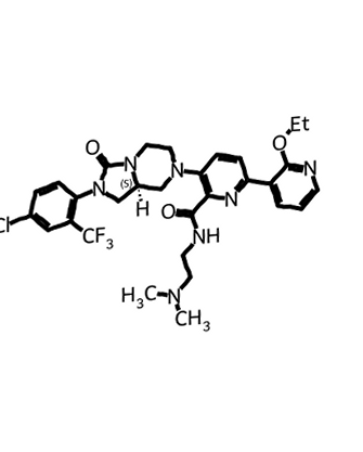 CCOc1ncccc1-c1ccc(N2CCN3C(=O)N(c4ccc(Cl)cc4C(F)(F)F)C[C@@H]3C2)c(C(=O)NCCN(C)C)n1